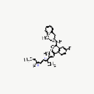 C=C/C(F)=C\C=C(/C)c1cc(-c2ccc(F)cc2C(=O)N[C@@H](CO)Cc2ccccn2)n[nH]1